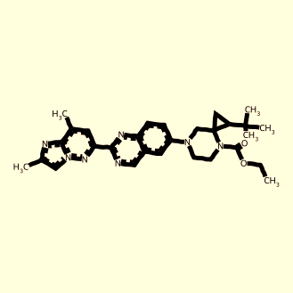 CCOC(=O)N1CCN(c2ccc3nc(-c4cc(C)c5nc(C)cn5n4)ncc3c2)CC12CC2C(C)(C)C